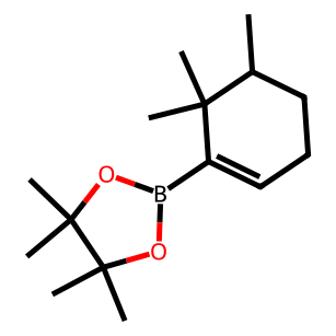 CC1CCC=C(B2OC(C)(C)C(C)(C)O2)C1(C)C